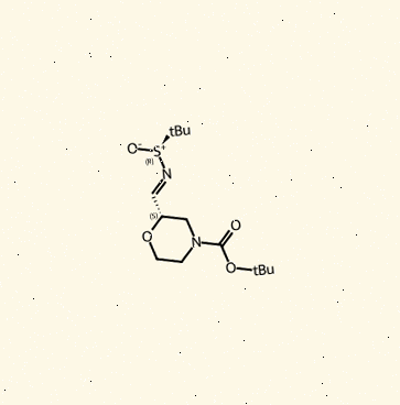 CC(C)(C)OC(=O)N1CCO[C@H](C=N[S@@+]([O-])C(C)(C)C)C1